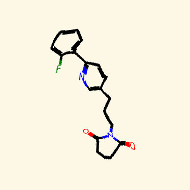 O=C1CCC(=O)N1CCCc1ccc(-c2ccccc2F)nc1